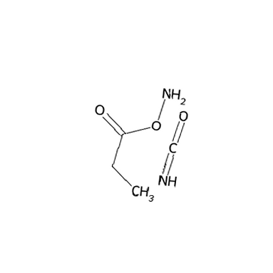 CCC(=O)ON.N=C=O